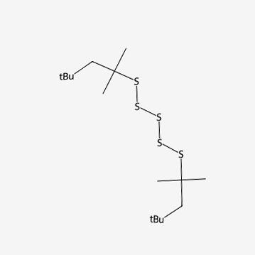 CC(C)(C)CC(C)(C)SSSSSC(C)(C)CC(C)(C)C